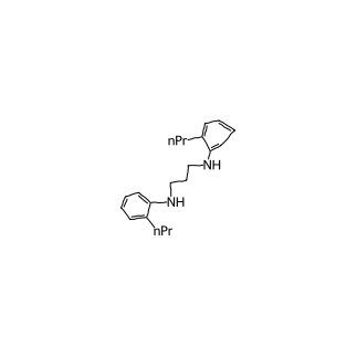 CCCc1ccccc1NCCCNc1ccccc1CCC